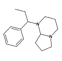 CCC(c1ccccc1)N1CCCN2CCCC21